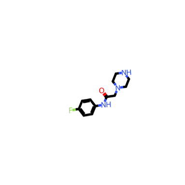 O=C(CN1CCNCC1)Nc1ccc(F)cc1